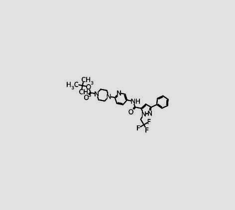 CC(C)(C)OC(=O)N1CCN(c2ccc(NC(=O)c3cc(-c4ccccc4)nn3CC(F)(F)F)cn2)CC1